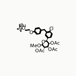 CO[C@H]1O[C@@H](c2ccc(Cl)c(Cc3ccc(OCCO[Si](C)(C)C(C)(C)C)cc3)c2)[C@H](OC(C)=O)[C@@H](OC(C)=O)[C@@H]1OC(C)=O